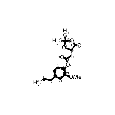 C=CCc1ccc(OC(=O)C[C@@H]2OC(C)(C)OC2=O)c(OC)c1